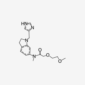 COCCOCC(=O)N(C)c1ccc2c(c1)N(Cc1c[nH]cn1)CC2